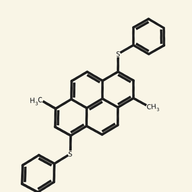 Cc1cc(Sc2ccccc2)c2ccc3c(C)cc(Sc4ccccc4)c4ccc1c2c34